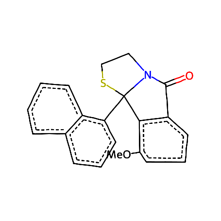 COc1cccc2c1C1(c3cccc4ccccc34)SCCN1C2=O